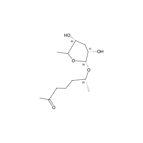 CC(=O)CCC[C@@H](C)O[C@@H]1OC(C)[C@H](O)C[C@@H]1O